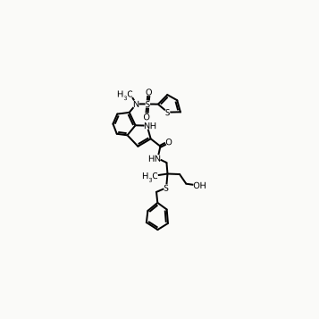 CN(c1cccc2cc(C(=O)NCC(C)(CCO)SCc3ccccc3)[nH]c12)S(=O)(=O)c1cccs1